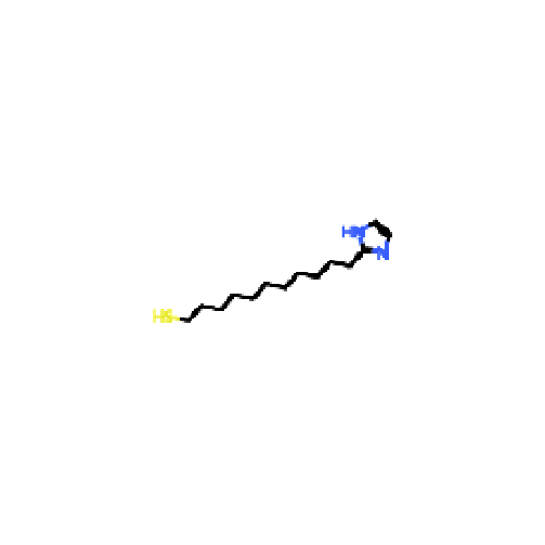 SCCCCCCCCCCCc1ncc[nH]1